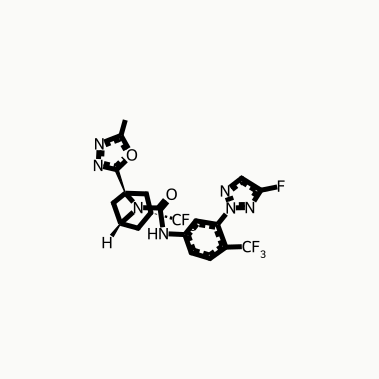 Cc1nnc([C@@]23C[C@@H](C[C@@H](C(F)(F)F)C2)N3C(=O)Nc2ccc(C(F)(F)F)c(-n3ncc(F)n3)c2)o1